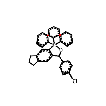 Clc1ccc(C2OP(c3ccccc3)(c3ccccc3)(c3ccccc3)c3cc4c(cc32)CCC4)cc1